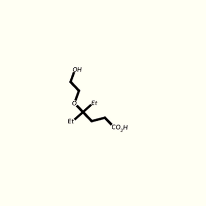 CCC(CC)(CCC(=O)O)OCCO